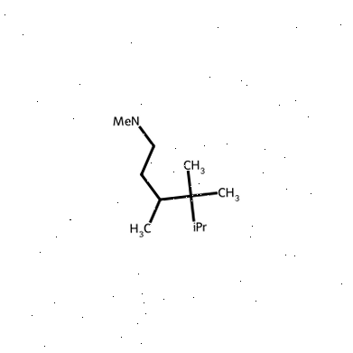 CNCCC(C)C(C)(C)C(C)C